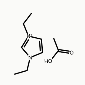 CC(=O)O.CCn1cc[n+](CC)c1